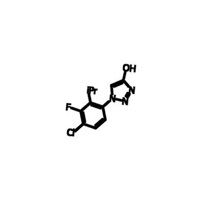 CC(C)c1c(-n2cc(O)nn2)ccc(Cl)c1F